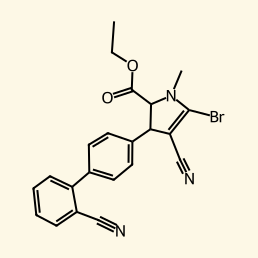 CCOC(=O)C1C(c2ccc(-c3ccccc3C#N)cc2)C(C#N)=C(Br)N1C